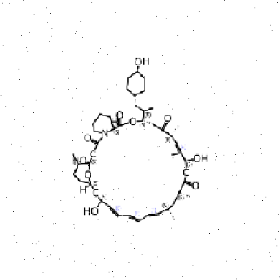 C/C1=C\[C@@H](C)C(=O)C[C@@H]([C@H](C)C[C@H]2CC[C@H](O)CC2)OC(=O)[C@@H]2CCCCN2C(=O)C[C@]2(O)O[C@@H](CC[C@H]2C)C[C@H](O)/C=C/C=C/C=C/[C@@H](C)C[C@@H](C)C(=O)C[C@@H]1O